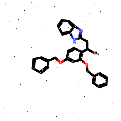 CC(Cc1nc2ccccc2[nH]1)c1ccc(OCc2ccccc2)cc1OCc1ccccc1